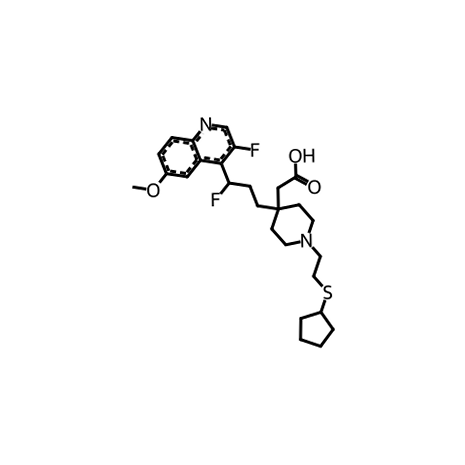 COc1ccc2ncc(F)c(C(F)CCC3(CC(=O)O)CCN(CCSC4CCCC4)CC3)c2c1